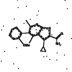 COc1ccccc1-c1c(C)nc2sc(C(N)=O)c(C3CC3)c2c1C